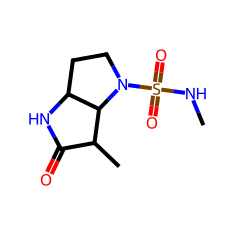 CNS(=O)(=O)N1CCC2NC(=O)C(C)C21